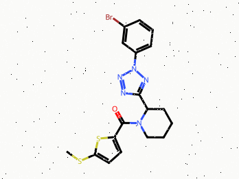 CSc1ccc(C(=O)N2CCCCC2c2nnn(-c3cccc(Br)c3)n2)s1